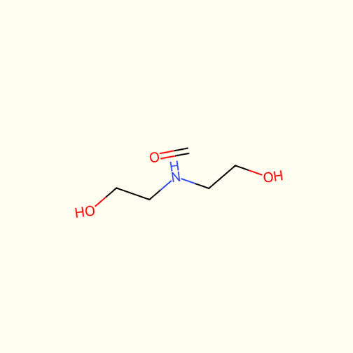 C=O.OCCNCCO